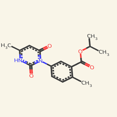 Cc1cc(=O)n(-c2ccc(C)c(C(=O)OC(C)C)c2)c(=O)[nH]1